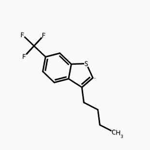 CCCCc1[c]sc2cc(C(F)(F)F)ccc12